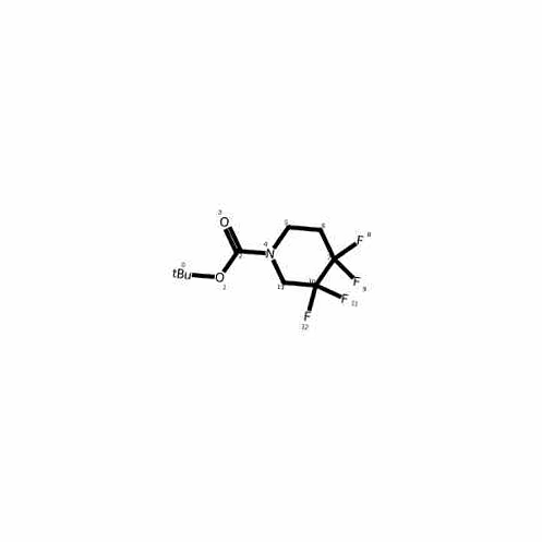 CC(C)(C)OC(=O)N1CCC(F)(F)C(F)(F)C1